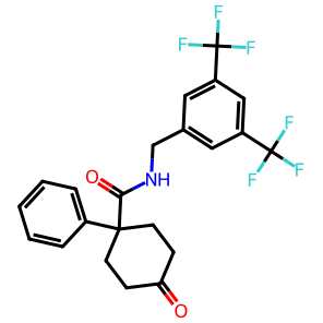 O=C1CCC(C(=O)NCc2cc(C(F)(F)F)cc(C(F)(F)F)c2)(c2ccccc2)CC1